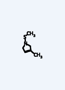 CSN1CC=C(C)C1